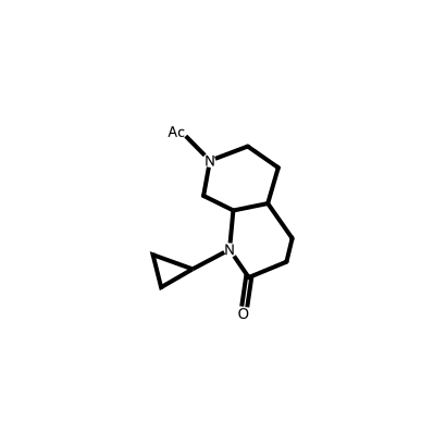 CC(=O)N1CCC2CCC(=O)N(C3CC3)C2C1